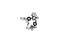 CCC1SC(=O)N(Cc2ccc(NS(C)(=O)=O)cc2)N=C1c1ccc(OC)c(OCF)c1